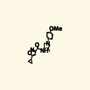 COc1ccc(N2CC(C)C(NC(=O)c3cc(C4CC4)on3)C2)cc1